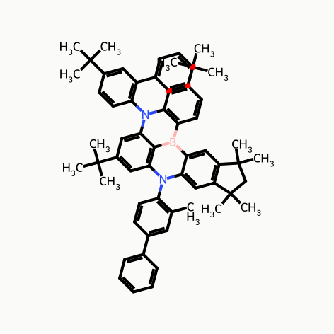 Cc1cc(-c2ccccc2)ccc1N1c2cc3c(cc2B2c4ccc(C(C)(C)C)cc4N(c4ccc(C(C)(C)C)cc4-c4ccccc4)c4cc(C(C)(C)C)cc1c42)C(C)(C)CC3(C)C